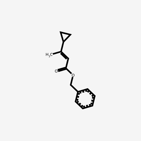 C/C(=C\C(=O)OCc1ccccc1)C1CC1